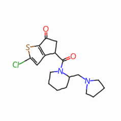 O=C1CC(C(=O)N2CCCCC2CN2CCCC2)c2cc(Cl)sc21